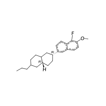 CCCC1CCC2C[C@H](c3ccc4c(F)c(OC)ccc4c3)CC[C@@H]2C1